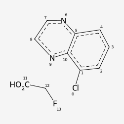 Clc1cccc2nccnc12.O=C(O)CF